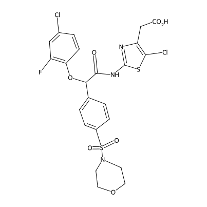 O=C(O)Cc1nc(NC(=O)C(Oc2ccc(Cl)cc2F)c2ccc(S(=O)(=O)N3CCOCC3)cc2)sc1Cl